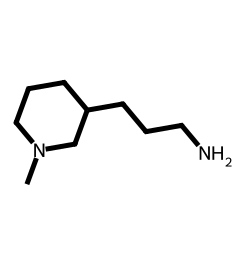 CN1CCCC(CCCN)C1